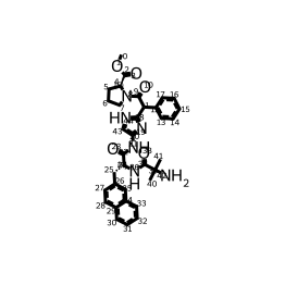 COC(=O)[C@@H]1CCCN1C(=O)C(c1ccccc1)c1nc(NC(=O)[C@@H](Cc2ccc3ccccc3c2)NC(=O)C(C)(C)N)c[nH]1